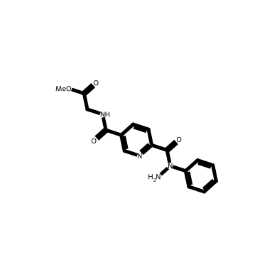 COC(=O)CNC(=O)c1ccc(C(=O)N(N)c2ccccc2)nc1